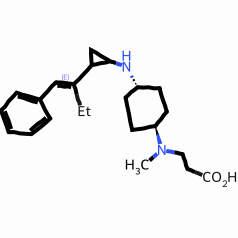 CC/C(=C\c1ccccc1)C1CC1N[C@H]1CC[C@H](N(C)CCC(=O)O)CC1